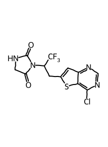 O=C1CNC(=O)N1C(Cc1cc2ncnc(Cl)c2s1)C(F)(F)F